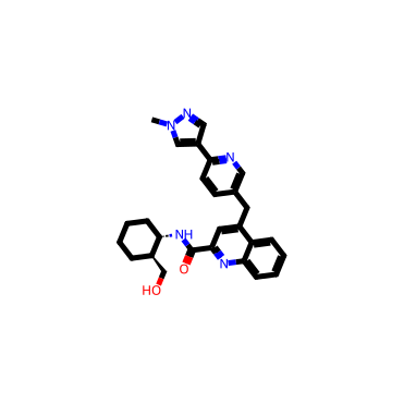 Cn1cc(-c2ccc(Cc3cc(C(=O)N[C@H]4CCCC[C@@H]4CO)nc4ccccc34)cn2)cn1